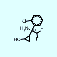 N[C@](c1ccccc1Cl)(C(F)F)C1CC1O